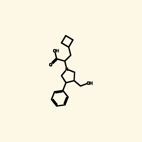 O=C(O)C(CC1CCC1)N1CC(CO)C(c2ccccc2)C1